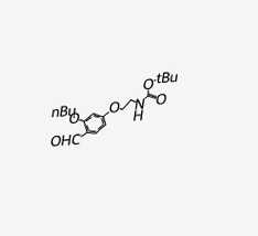 CCCCOc1cc(OCCNC(=O)OC(C)(C)C)ccc1C=O